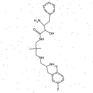 CC(C)(CNCC(N)Cc1cc(F)ccc1F)CNC(=O)C(O)C(N)Cc1ccccc1